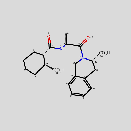 CC(NC(=O)[C@H]1CCCC[C@@H]1C(=O)O)C(=O)N1Cc2ccccc2C[C@H]1C(=O)O